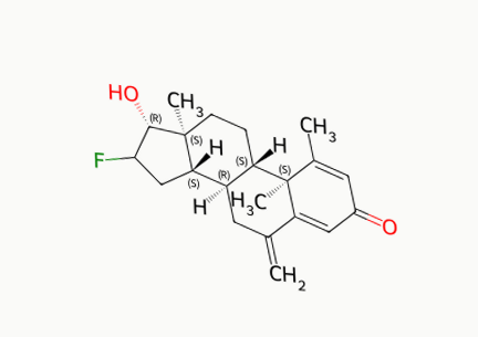 C=C1C[C@@H]2[C@H](CC[C@]3(C)[C@@H](O)C(F)C[C@@H]23)[C@@]2(C)C(C)=CC(=O)C=C12